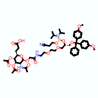 COc1ccc(C(OC[C@H](COCCOCCNC(=O)CO[C@@H]2O[C@H]([CH]CC(=O)O)[C@@H](OC(C)=O)[C@H](OC(C)=O)[C@H]2NC(C)=O)OP(OCCC#N)N(C(C)C)C(C)C)(c2ccccc2)c2ccc(OC)cc2)cc1